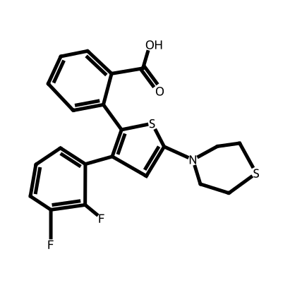 O=C(O)c1ccccc1-c1sc(N2CCSCC2)cc1-c1cccc(F)c1F